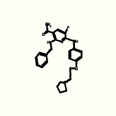 NC(=O)c1cc(F)c(Nc2ccc(OCCN3CCCC3)cc2)nc1NCc1ccccc1